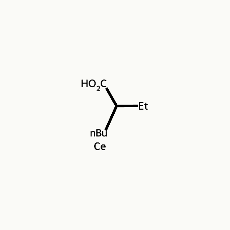 CCCCC(CC)C(=O)O.[Ce]